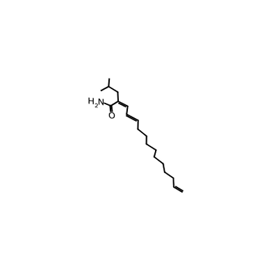 C=CCCCCCCCCC=CC=C(CC(C)C)C(N)=O